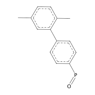 Cc1ccc(C)c(-c2ccc(P=O)cc2)c1